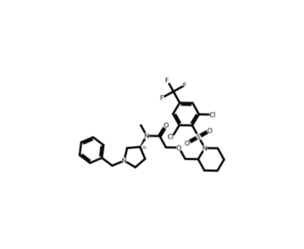 CN(C(=O)COCC1CCCCN1S(=O)(=O)c1c(Cl)cc(C(F)(F)F)cc1Cl)[C@H]1CCN(Cc2ccccc2)C1